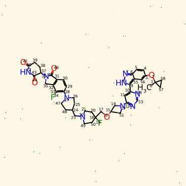 CC1(Oc2ccc3n[nH]c(-c4cc(N5CC(OCC6(F)CCN(CC7CCN(c8ccc9c(c8F)CN(C8CCC(=O)NC8=O)C9=O)CC7)CC6)C5)ncn4)c3c2)CC1